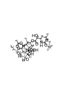 C=CC[C@@H]1O[C@H]2C[C@H]3OC[C@@]3(O)[C@H]3[C@H](O)[C@]4(C(C)(C)O)C[C@H](OC(=O)[C@H](O)C(CC(C)C)NC(=O)OC(C)(C)C)C(C)=C4[C@H](OC(C)=O)[C@H](O1)[C@]23C